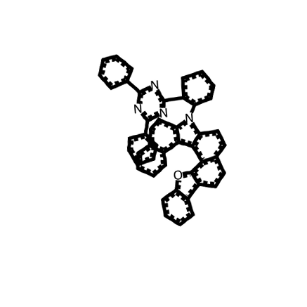 c1ccc(-c2nc(-c3ccccc3)nc(-c3ccccc3-n3c4ccc5ccccc5c4c4c5c(ccc6c7ccccc7oc65)ccc43)n2)cc1